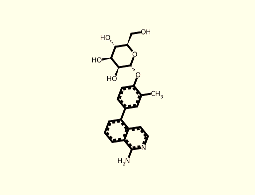 Cc1cc(-c2cccc3c(N)nccc23)ccc1O[C@H]1O[C@H](CO)[C@@H](O)[C@H](O)[C@@H]1O